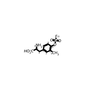 Cc1cc(CC(N)C(=O)O)ccc1OS(=O)(=O)F